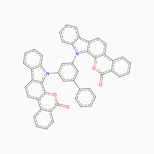 O=c1oc2c(ccc3c4ccccc4n(-c4cc(-c5ccccc5)cc(-n5c6ccccc6c6ccc7c8ccccc8c(=O)oc7c65)c4)c32)c2ccccc12